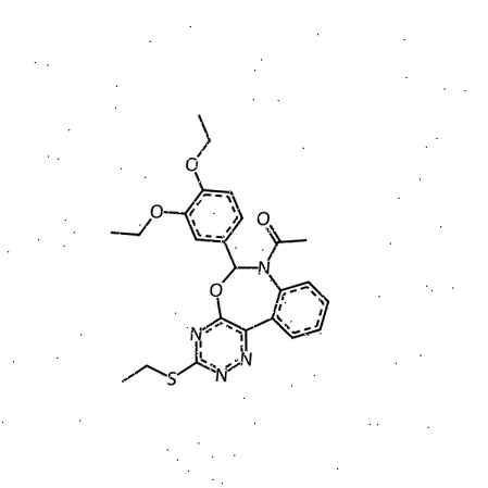 CCOc1ccc(C2Oc3nc(SCC)nnc3-c3ccccc3N2C(C)=O)cc1OCC